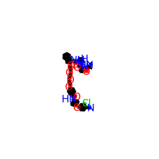 CN[C@@H](C)C(=O)N[C@H](C(=O)N1CCCC1C(=O)N[C@H]1c2ccccc2C[C@H]1OCCOCCOCCOc1ccc(C(=O)NC2C(C)(C)C(Oc3ccc(C#N)c(Cl)c3)C2(C)C)cc1)C(C)(C)C